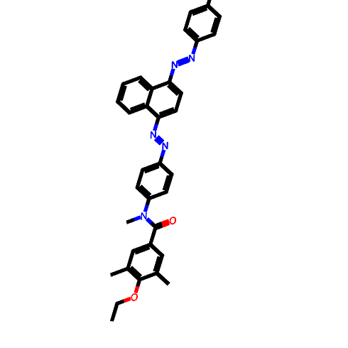 CCOc1c(C)cc(C(=O)N(C)c2ccc(N=Nc3ccc(N=Nc4ccc(CC)cc4)c4ccccc34)cc2)cc1C